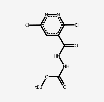 CC(C)(C)OC(=O)NNC(=O)c1cc(Cl)nnc1Cl